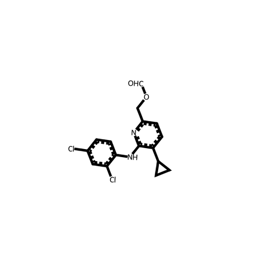 O=COCc1ccc(C2CC2)c(Nc2ccc(Cl)cc2Cl)n1